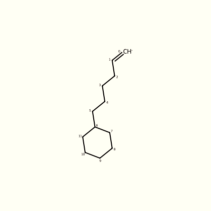 [CH]=CCCCCC1CCCCC1